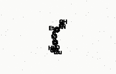 CCc1cc(-c2cncc(O)c2)ccc1CN1CCN(c2ccc(C(=O)NS(=O)(=O)C(C)(C)C)cc2)CC1